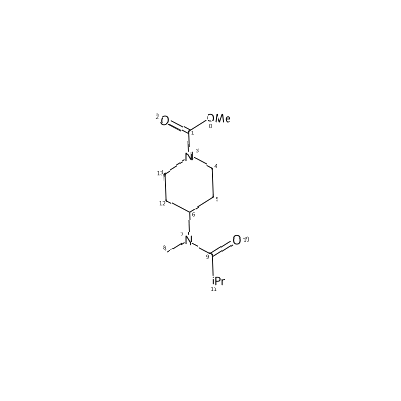 COC(=O)N1CCC(N(C)C(=O)C(C)C)CC1